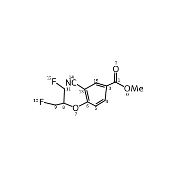 COC(=O)c1ccc(OC(CF)CF)c(C#N)c1